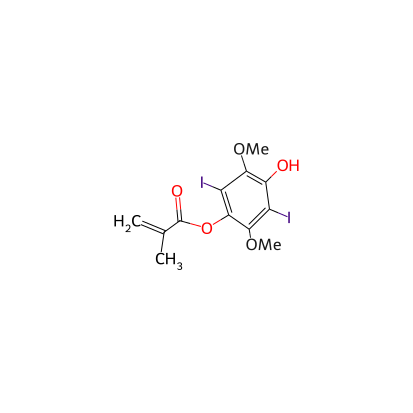 C=C(C)C(=O)Oc1c(I)c(OC)c(O)c(I)c1OC